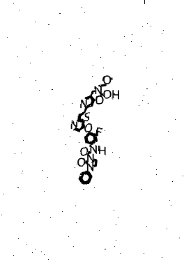 COCCN(Cc1ccc(-c2cc3nccc(Oc4ccc(NC(=O)N5CCN(c6ccccc6)C5=O)cc4F)c3s2)nc1)C(=O)O